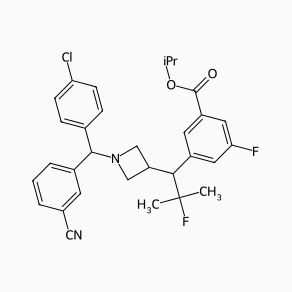 CC(C)OC(=O)c1cc(F)cc(C(C2CN(C(c3ccc(Cl)cc3)c3cccc(C#N)c3)C2)C(C)(C)F)c1